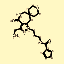 CCc1nn(CCCOC(=O)C2=CCC=C2)c2c1C(=O)NCC1(CCOCC1)C2